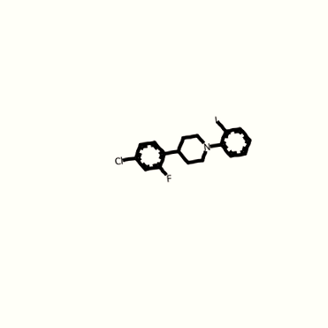 Fc1cc(Cl)ccc1C1CCN(c2ccccc2I)CC1